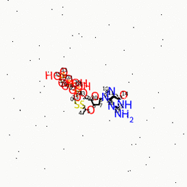 CSS[C@H](C)OC1C[C@H](n2cnc3c(=O)[nH]c(N)nc32)O[C@@H]1COP(=O)(O)OP(=O)(O)OP(=O)(O)O